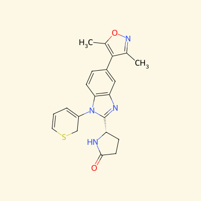 Cc1noc(C)c1-c1ccc2c(c1)nc([C@@H]1CCC(=O)N1)n2C1=CC=CSC1